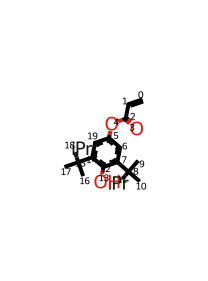 C=CC(=O)Oc1cc(C(C)(C)C(C)C)c(O)c(C(C)(C)C(C)C)c1